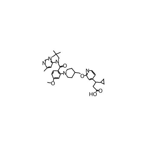 COc1ccc(C(=O)N(CC(C)(C)C)c2cc(C)ncn2)c(N2CCC(COc3cc(C(CC(=O)O)C4CC4)ccn3)CC2)c1